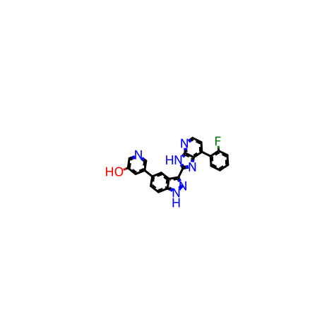 Oc1cncc(-c2ccc3[nH]nc(-c4nc5c(-c6ccccc6F)ccnc5[nH]4)c3c2)c1